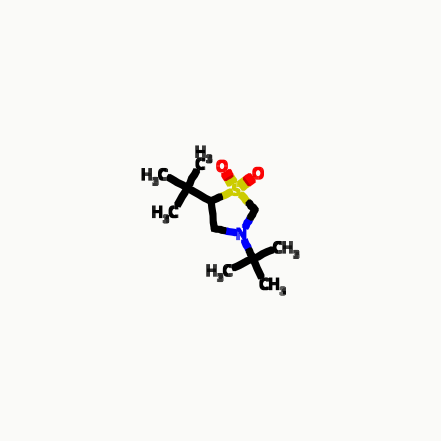 CC(C)(C)C1CN(C(C)(C)C)CS1(=O)=O